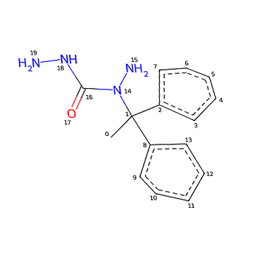 CC(c1ccccc1)(c1ccccc1)N(N)C(=O)NN